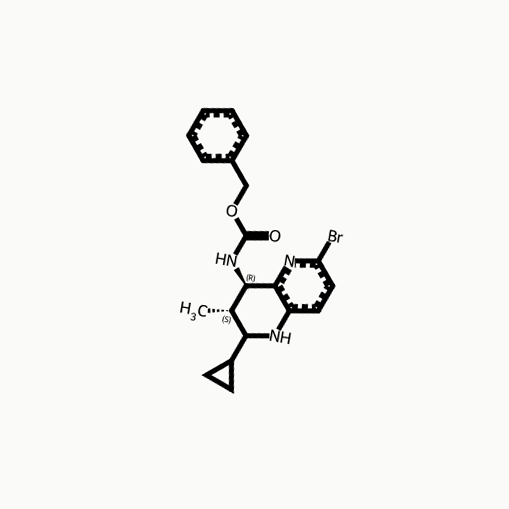 C[C@H]1C(C2CC2)Nc2ccc(Br)nc2[C@@H]1NC(=O)OCc1ccccc1